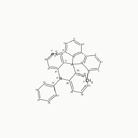 Cc1ccccc1C1(c2ccccc2C)c2ccccc2N(c2ccccc2)c2ccccc21